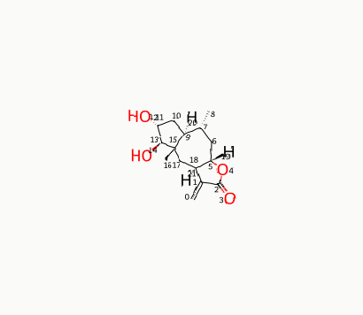 C=C1C(=O)O[C@H]2C[C@@H](C)[C@@H]3C[C@@H](O)[C@H](O)[C@@]3(C)C[C@H]12